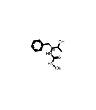 CC(O)[C@H](Cc1ccccc1)NC(=S)NC(C)(C)C